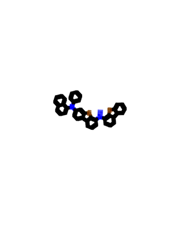 c1ccc(N(c2ccc3c(c2)sc2c(Nc4cccc5c4sc4ccccc45)cccc23)c2cccc3ccccc23)cc1